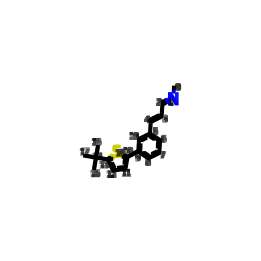 C/N=C/C=C/c1cccc(-c2ccc(C(C)(C)C)s2)c1